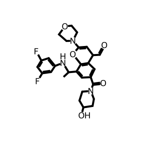 CC(Nc1cc(F)cc(F)c1)c1cc(C(=O)N2CCC(O)CC2)cc2c1OC(N1CCOCC1)=CC2C=O